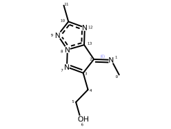 C/N=C1\C(CCO)=Nn2nc(C)nc21